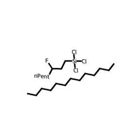 CCCCCC(F)CC[Si](Cl)(Cl)Cl.CCCCCCCCCCCCC